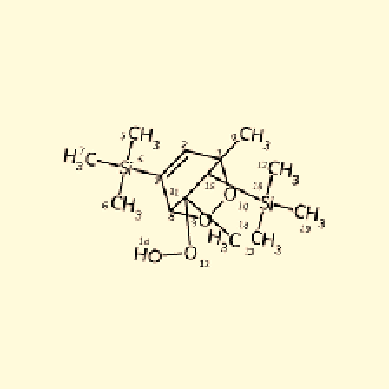 CC12C=C([Si](C)(C)C)C(OO1)C(C)(OO)C2[Si](C)(C)C